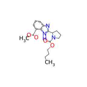 CCCCOC(=O)N1CCCC1c1nc2cccc(C(=O)OC)c2[nH]1